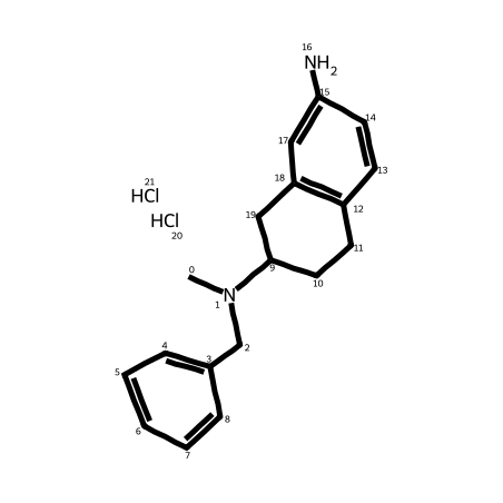 CN(Cc1ccccc1)C1CCc2ccc(N)cc2C1.Cl.Cl